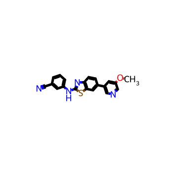 COc1cncc(-c2ccc3nc(Nc4cccc(C#N)c4)sc3c2)c1